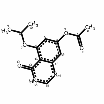 CC(=O)Oc1cc(OC(C)C)c2c(=O)[nH]cnc2c1